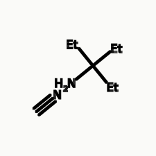 C#N.CCC(N)(CC)CC